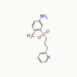 Cc1ccc(N)cc1S(=O)(=O)CCCc1ccccn1